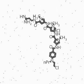 CCCN(CCCl)c1ccc(C(=O)Nc2cc(C(=O)Nc3cc(C(=O)Nc4cc(C(=O)NCCC(=N)N)n(C)c4)n(C)c3)n(C)c2)cc1.Cl